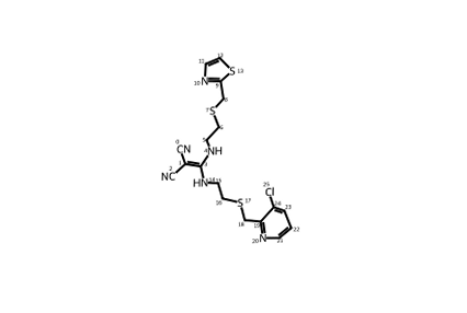 N#CC(C#N)=C(NCCSCc1nccs1)NCCSCc1ncccc1Cl